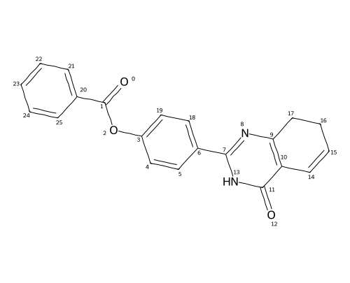 O=C(Oc1ccc(-c2nc3c(c(=O)[nH]2)C=CCC3)cc1)c1ccccc1